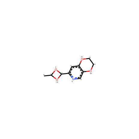 CC1OC(c2cc3c(cn2)OCCO3)O1